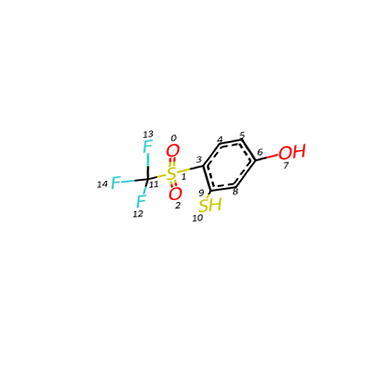 O=S(=O)(c1ccc(O)cc1S)C(F)(F)F